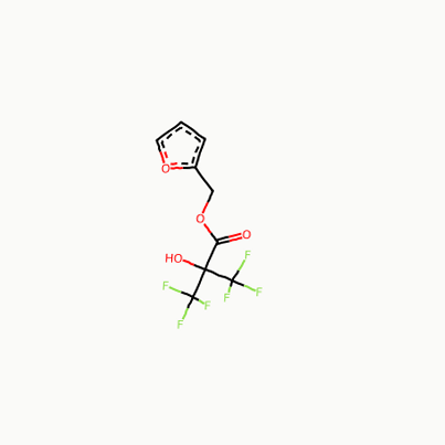 O=C(OCc1ccco1)C(O)(C(F)(F)F)C(F)(F)F